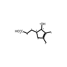 CC1=C(C)C(O)C(CCC(=O)O)C1